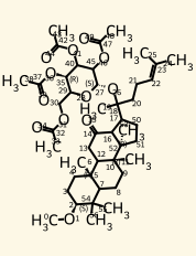 CO[C@H]1CC[C@@]2(C)C(CC[C@]3(C)C2CC(=O)C2C(C(C)(CCC=C(C)C)O[C@@H]4OC(COC(C)=O)[C@@H](OC(C)=O)C(OC(C)=O)C4OC(C)=O)CC[C@]23C)C1(C)C